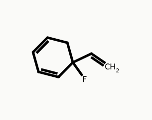 C=CC1(F)C=CC=CC1